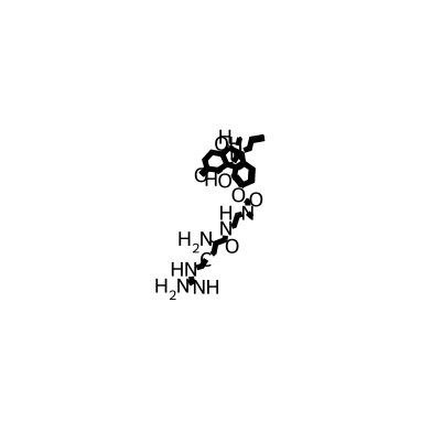 C=CC[N+]1(C)CC[C@]23c4c5ccc(OC(=O)N(C)CCNC(=O)[C@@H](N)CCCNC(=N)N)c4O[C@H]2C(=O)CC[C@@]3(O)[C@H]1C5